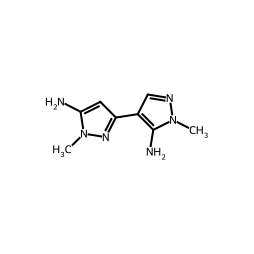 Cn1nc(-c2cnn(C)c2N)cc1N